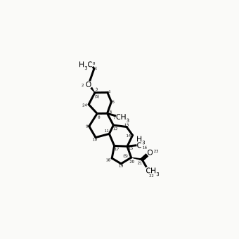 CCO[C@H]1CCC2(C)C(CCC3C2CCC2(C)C3CC[C@@H]2C(C)=O)C1